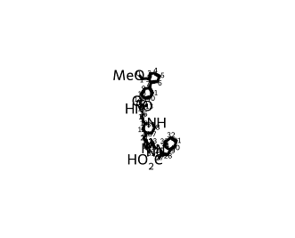 COCc1ccccc1-c1ccc(S(=O)(=O)NCCC2CC(Cn3cc(-n4c(C(=O)O)cc5ccccc54)nn3)CCN2)cc1